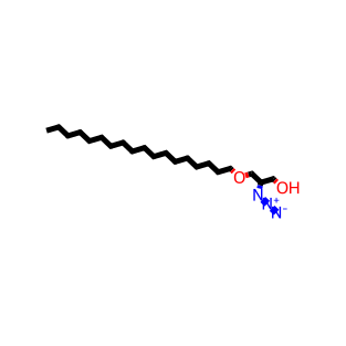 CCCCCCCCCCCCCCCCCCOCC(CO)N=[N+]=[N-]